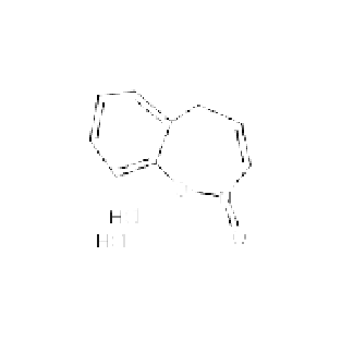 Cl.Cl.O=[N+]1C=CCc2ccccc2O1